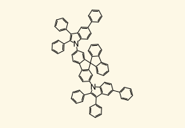 c1ccc(-c2ccc3c(c2)c(-c2ccccc2)c(-c2ccccc2)n3-c2ccc3c(c2)C2(c4ccccc4-c4ccccc42)c2cc(-n4c(-c5ccccc5)c(-c5ccccc5)c5cc(-c6ccccc6)ccc54)ccc2-3)cc1